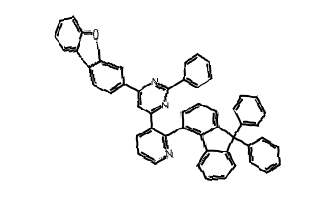 c1ccc(-c2nc(-c3ccc4c(c3)oc3ccccc34)cc(-c3cccnc3-c3cccc4c3-c3ccccc3C4(c3ccccc3)c3ccccc3)n2)cc1